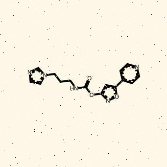 O=C(NCCCn1ccnc1)Oc1cc(-c2ccncc2)on1